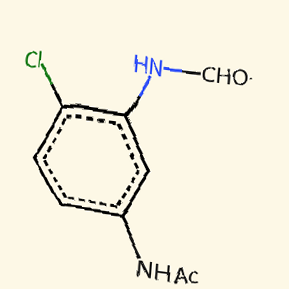 CC(=O)Nc1ccc(Cl)c(N[C]=O)c1